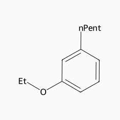 [CH2]CCCCc1cccc(OCC)c1